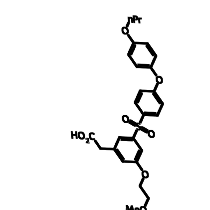 CCCOc1ccc(Oc2ccc(S(=O)(=O)c3cc(CC(=O)O)cc(OCCOC)c3)cc2)cc1